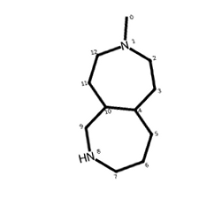 CN1CCC2CCCNCC2CC1